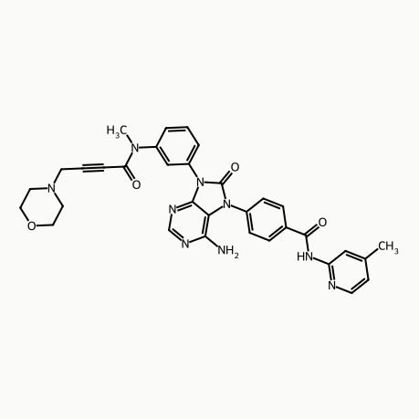 Cc1ccnc(NC(=O)c2ccc(-n3c(=O)n(-c4cccc(N(C)C(=O)C#CCN5CCOCC5)c4)c4ncnc(N)c43)cc2)c1